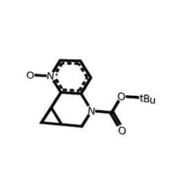 CC(C)(C)OC(=O)N1CC2CC2c2c1ccc[n+]2[O-]